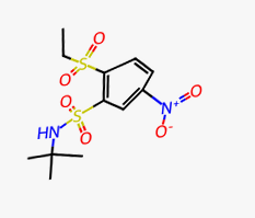 CCS(=O)(=O)c1ccc([N+](=O)[O-])cc1S(=O)(=O)NC(C)(C)C